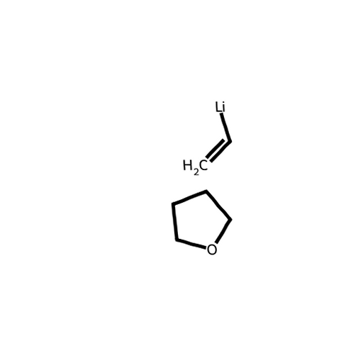 C1CCOC1.[Li][CH]=C